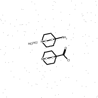 Cl.Cl.NC12CCN(CC1)CC2.O=C(Cl)C12CCN(CC1)CC2